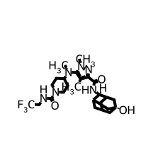 Cc1c(C(=O)N[C@H]2C3CC4CC2C[C@](O)(C4)C3)nn(C)c1N(C)C1CCN(C(=O)NCC(F)(F)F)CC1